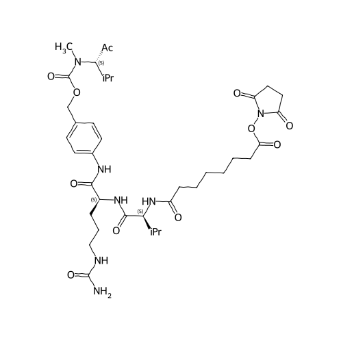 CC(=O)[C@H](C(C)C)N(C)C(=O)OCc1ccc(NC(=O)[C@H](CCCNC(N)=O)NC(=O)[C@@H](NC(=O)CCCCCCC(=O)ON2C(=O)CCC2=O)C(C)C)cc1